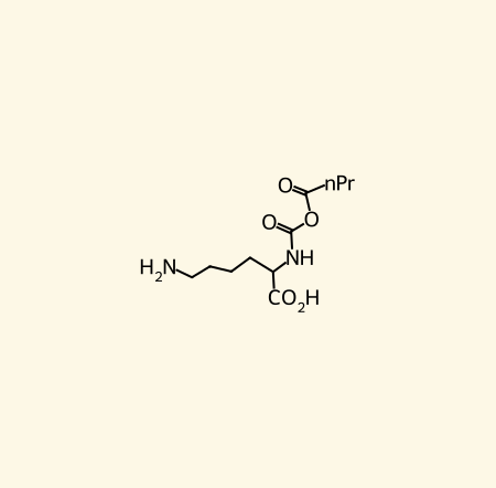 CCCC(=O)OC(=O)NC(CCCCN)C(=O)O